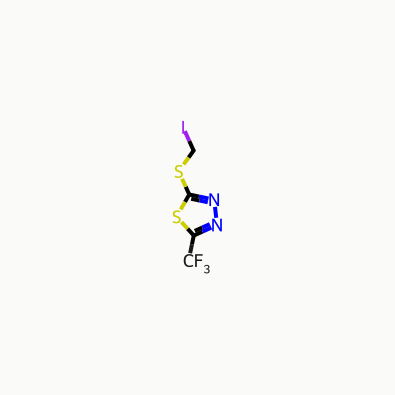 FC(F)(F)c1nnc(SCI)s1